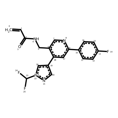 C=CC(=O)NCc1cnc(-c2ccc(F)cc2)cc1-c1cnn(C(F)F)c1